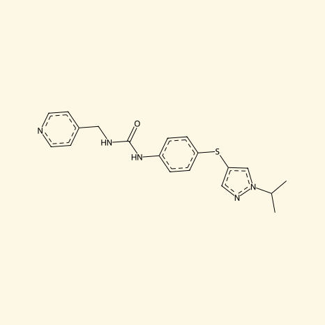 CC(C)n1cc(Sc2ccc(NC(=O)NCc3ccncc3)cc2)cn1